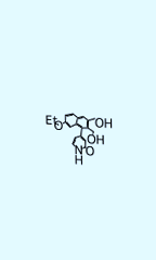 CCOc1ccc2cc(CO)c(CO)c(-c3cc[nH]c(=O)c3)c2c1